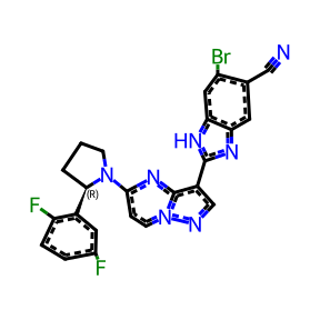 N#Cc1cc2nc(-c3cnn4ccc(N5CCC[C@@H]5c5cc(F)ccc5F)nc34)[nH]c2cc1Br